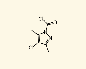 Cc1nn(C(=O)Cl)c(C)c1Cl